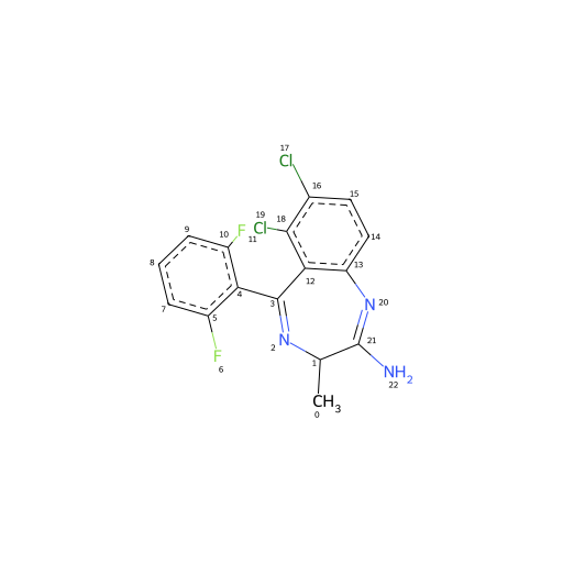 CC1N=C(c2c(F)cccc2F)c2c(ccc(Cl)c2Cl)N=C1N